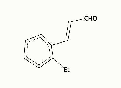 CCc1ccccc1/C=C/C=O